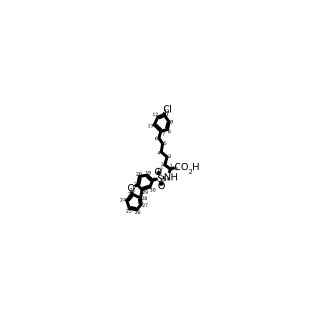 O=C(O)C(CCCCCc1ccc(Cl)cc1)NS(=O)(=O)c1ccc2oc3ccccc3c2c1